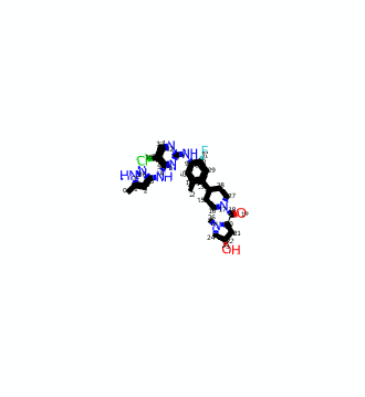 Cc1cc(Nc2nc(Nc3cc(C)c(C4CCN(C(=O)[C@@H]5CC(O)CN5C)CC4)cc3F)ncc2Cl)n[nH]1